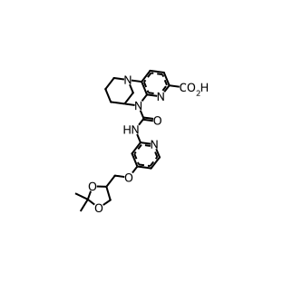 CC1(C)OCC(COc2ccnc(NC(=O)N3c4nc(C(=O)O)ccc4N4CCCC3C4)c2)O1